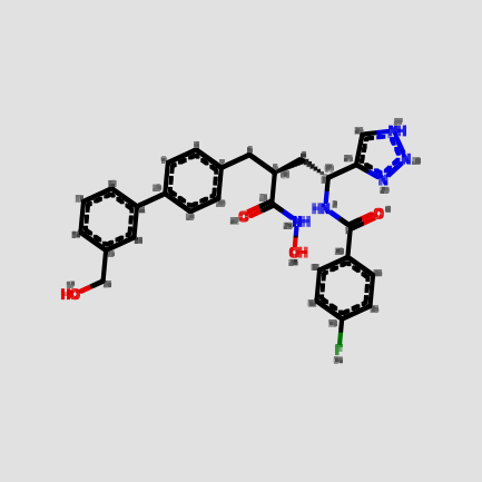 O=C(N[C@H](C[C@H](Cc1ccc(-c2cccc(CO)c2)cc1)C(=O)NO)c1c[nH]nn1)c1ccc(F)cc1